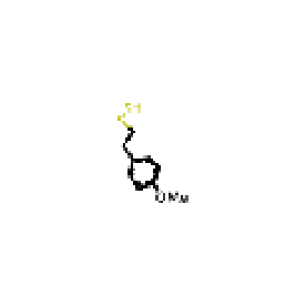 COc1ccc(CCSS)cc1